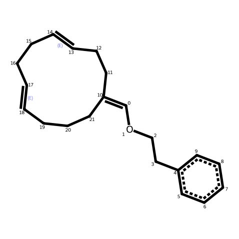 C(OCCc1ccccc1)=C1CC/C=C/CC/C=C/CCC1